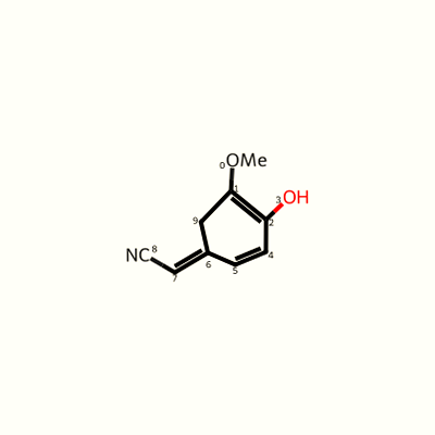 COC1=C(O)C=CC(=CC#N)C1